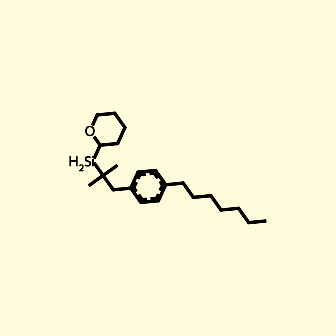 CCCCCCCc1ccc(CC(C)(C)[SiH2]C2CCCCO2)cc1